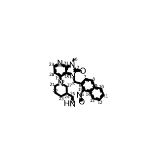 Cn1c(=O)n(Cc2ccc3ccccc3c2N=O)c2c(N3CCCC(C=N)C3)ccnc21